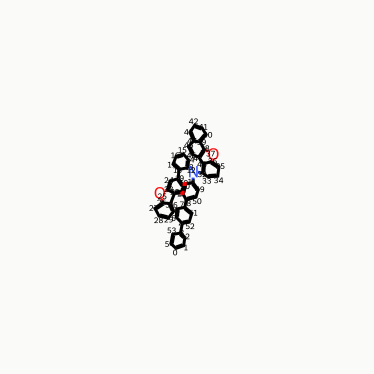 c1ccc(-c2ccc(-c3ccc(N(c4ccccc4-c4ccc5c(c4)oc4ccccc45)c4cccc5oc6c7ccccc7ccc6c45)cc3)cc2)cc1